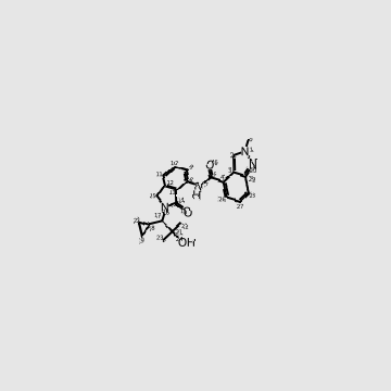 Cn1cc2c(C(=O)Nc3cccc4c3C(=O)N([C@H](C3CC3)C(C)(C)O)C4)cccc2n1